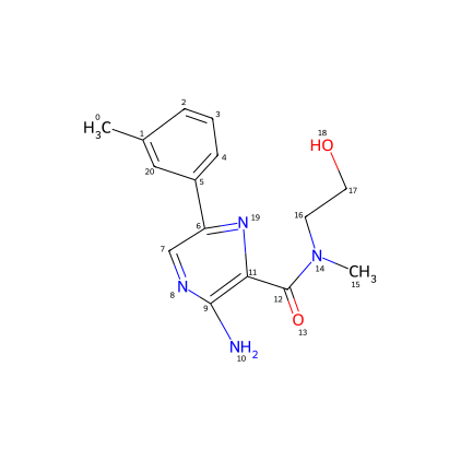 Cc1cccc(-c2cnc(N)c(C(=O)N(C)CCO)n2)c1